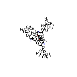 CC(C)(C)NC(=O)OC1COC(C(C)(C)C/C2=C\COCOCC2OC(=O)OC(C)(C)C)OC/C=C/1CC(C)(C)C1OC/C=C/C(OC(=O)SC(C)(C)C)CO1